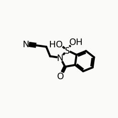 N#CCCN1C(=O)c2ccccc2S1(O)O